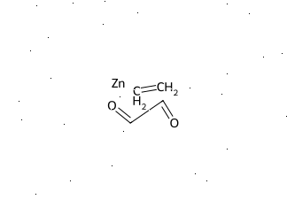 C=C.O=CC=O.[Zn]